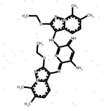 CCOc1nn2c(C)c(C)ccc2c1/N=C1\N=C(Nc2c(OCC)nn3c(C)c(C)ccc23)C(=N)C=C1N